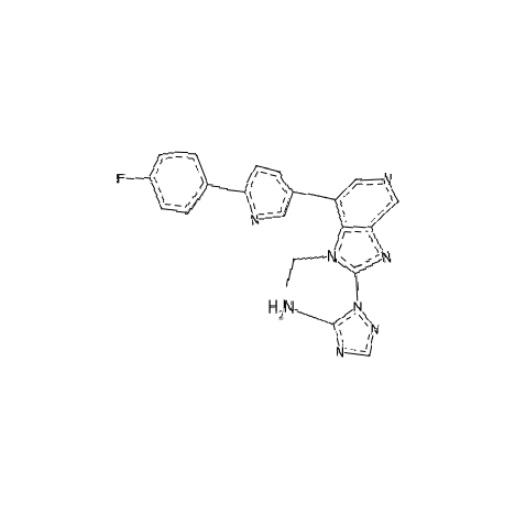 CCn1c(-n2ncnc2N)nc2cncc(-c3ccc(-c4ccc(F)cc4)nc3)c21